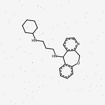 c1ccc2c(c1)OCc1ncccc1C2NCCCNC1CCCCC1